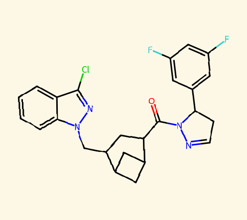 O=C(C1CC(Cn2nc(Cl)c3ccccc32)C2CC1C2)N1N=CCC1c1cc(F)cc(F)c1